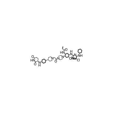 C=CC(=O)Nc1cc(Nc2ncc(Cl)c(Nc3ccccc3)n2)c(OC)cc1N1CCN(C(=O)CN2CCC(c3ccc(NC4CCC(=O)NC4=O)cc3)CC2)CC1